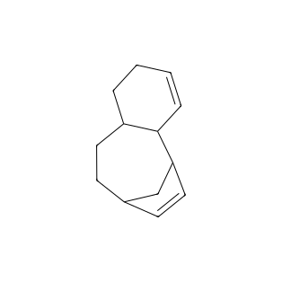 C1=CC2C3C=CC(CCC2CC1)C3